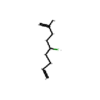 C=CCCC(F)CCC(=C)C